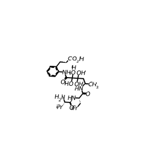 CC(C)C[C@H](NC(=O)[C@@H](N)C(C)C)C(=O)NC(C)CC(O)(O)C(O)(O)C(=O)Nc1ccccc1CCC(=O)O